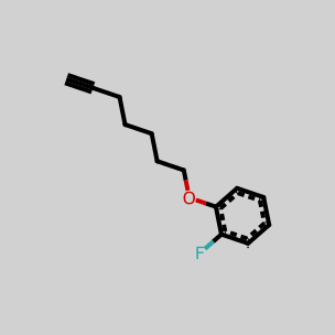 C#CCCCCCOc1ccc[c]c1F